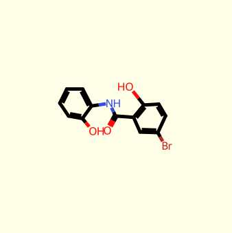 O=C(Nc1ccccc1O)c1cc(Br)ccc1O